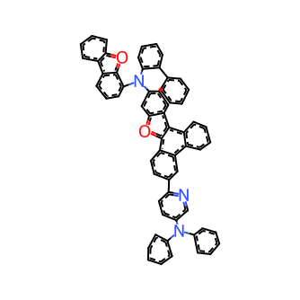 c1ccc(-c2ccccc2N(c2ccc3c(c2)oc2c4ccc(-c5ccc(N(c6ccccc6)c6ccccc6)cn5)cc4c4ccccc4c32)c2cccc3c2oc2ccccc23)cc1